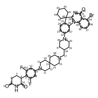 O=C1CCC(c2c(F)cc(N3CCC4(CCN(CC5CCN(c6ccc7c(c6)-n6c(nc(=O)c8c(Br)cccc86)C76CCCCC6)CC5)CC4)CC3)cc2F)C(=O)N1